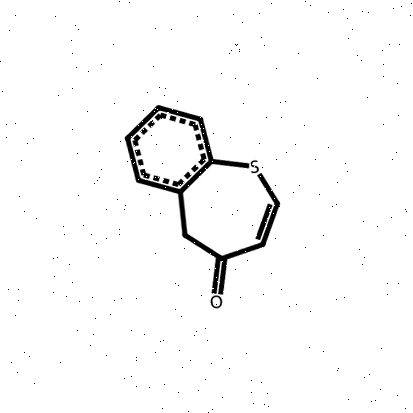 O=C1C=CSc2ccccc2C1